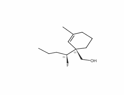 CCC[C@H](F)[C@]1(CO)C=C(C)CCC1